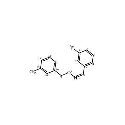 Fc1cccc(/[C]=N\OCc2cccc(Cl)c2)c1